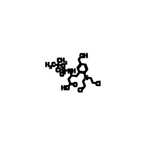 CC(C)(C)OC(=O)N[C@H](CC(=O)O)Cc1cc(CO)ccc1N(CCCl)CCCl